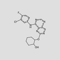 OC1CCCCC1Oc1ncc2ncnc(Nc3ccc(F)c(Cl)c3)c2n1